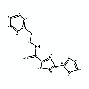 O=C(NCCc1ccccn1)c1nc(-c2cccs2)no1